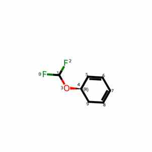 FC(F)O[C@H]1C=CC=CC1